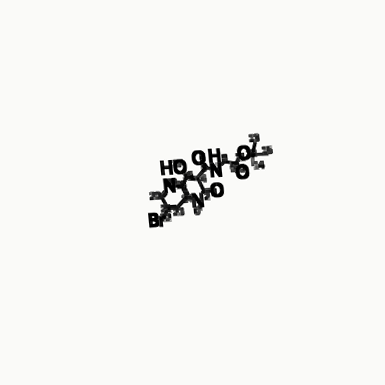 Cn1c(=O)c(C(=O)NCC(=O)OC(C)(C)C)c(O)c2ncc(Br)cc21